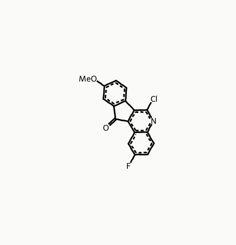 COc1ccc2c(c1)C(=O)c1c-2c(Cl)nc2ccc(F)cc12